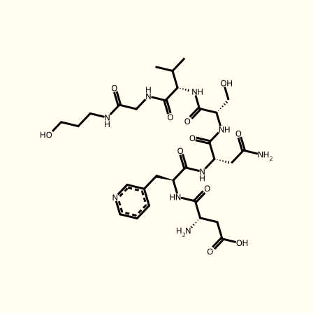 CC(C)[C@H](NC(=O)[C@H](CO)NC(=O)[C@H](CC(N)=O)NC(=O)[C@H](Cc1cccnc1)NC(=O)[C@@H](N)CC(=O)O)C(=O)NCC(=O)NCCCO